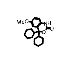 COc1ccc2c(c1)C(C1CCCCC1)(C1CCCCC1)OC(=O)N2